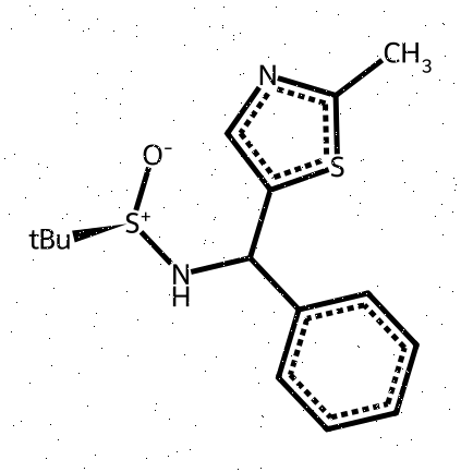 Cc1ncc(C(N[S@+]([O-])C(C)(C)C)c2ccccc2)s1